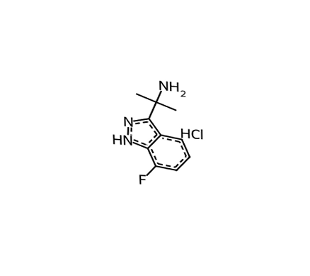 CC(C)(N)c1n[nH]c2c(F)cccc12.Cl